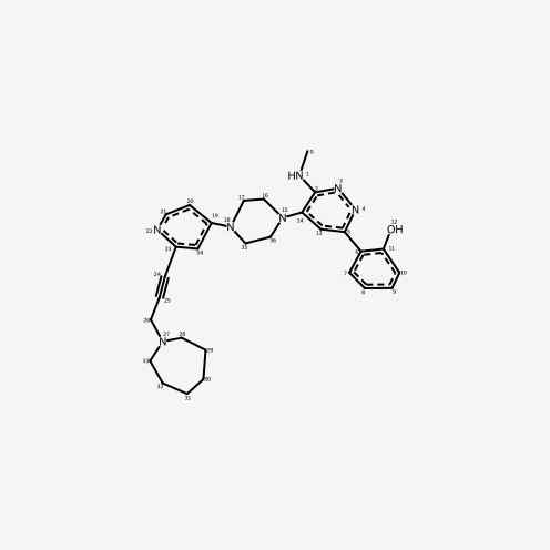 CNc1nnc(-c2ccccc2O)cc1N1CCN(c2ccnc(C#CCN3CCCCCC3)c2)CC1